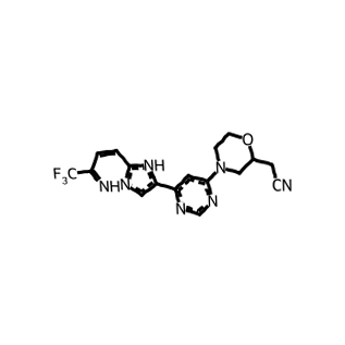 N#CCC1CN(c2cc(-c3cnc(/C=C\C(=N)C(F)(F)F)[nH]3)ncn2)CCO1